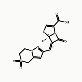 O=C(O)C1=CS[C@@H]2/C(=C\c3cc4n(n3)CCS(=O)(=O)C4)C(=O)N12